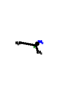 CCCCCCCCCCCCCCC(F)(CCCCCC)c1ccc(N)cc1